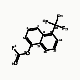 O=C(F)Oc1cccc2c(C(F)(F)F)cccc12